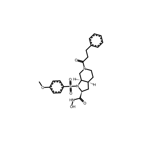 COc1ccc(S(=O)(=O)N2[C@H](C(=O)NO)C[C@@H]3CCN(C(=O)CCc4ccccc4)C[C@@H]32)cc1